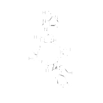 Nc1ncnc2c1ncn2[C@@H]1O[C@@H]2COP(=O)(O)O[C@@H]3[C@H](O)[C@@H](COP(=O)(O)OC[C@H]2[C@H]1O)O[C@H]3n1cc(F)c2c(=O)[nH]cnc21